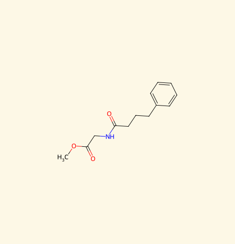 COC(=O)CNC(=O)CCCc1ccccc1